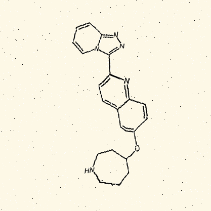 c1ccn2c(-c3ccc4cc(OC5CCCNCC5)ccc4n3)nnc2c1